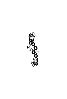 Cc1c(-c2ccn3c(=O)c(CNC[C@@H]4CCC(=O)N4)cnc3c2)cccc1-c1cccc(-c2ccc(CNC[C@H]3CCC(=O)N3)cc2)c1Cl